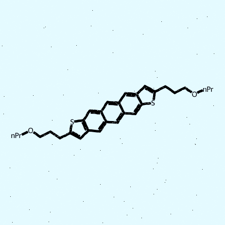 CCCOCCCc1cc2cc3cc4cc5sc(CCCOCCC)cc5cc4cc3cc2s1